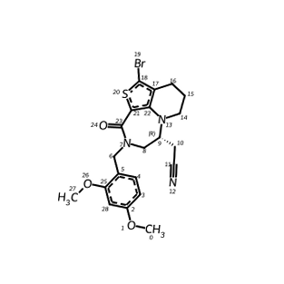 COc1ccc(CN2C[C@@H](CC#N)N3CCCc4c(Br)sc(c43)C2=O)c(OC)c1